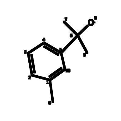 Cc1cccc(C(C)(C)[O])c1